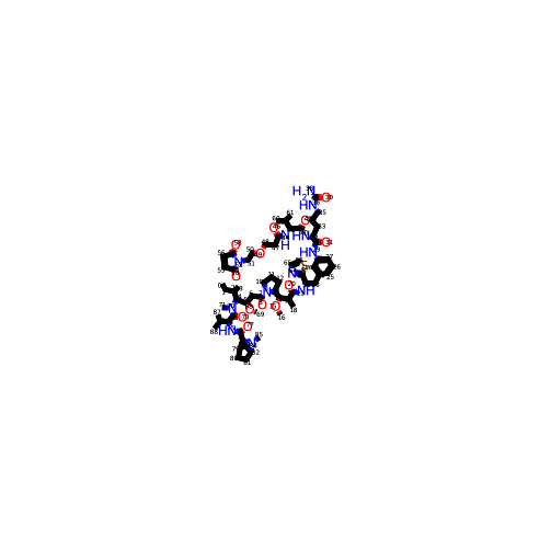 CCC(C)C(C(CC(=O)N1CCCC1C(OC)C(C)C(=O)NC(Cc1cccc(NC(=O)C(CCCNC(N)=O)NC(=O)C(NC(=O)CCOCCN2C(=O)C=CC2=O)C(C)C)c1)c1nccs1)OC)N(C)C(=O)C(NC(=O)C1C2CCC(C2)N1C)C(C)C